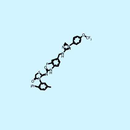 Cc1ccc(C(C)C)c(N2C(=O)CSC2=NC(=O)Nc2ccc(CNc3ncn(-c4ccc(OC(F)(F)F)cc4)n3)cc2F)c1